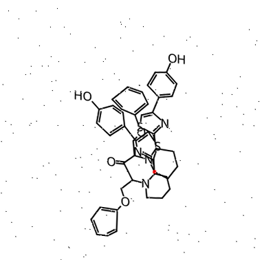 O=C(C(COc1ccccc1)N1CCCC[C@@H]1c1nc(-c2ccc(O)cc2)cs1)C(COc1ccccc1)N1CCCC[C@@H]1c1nc(-c2ccc(O)cc2)cs1